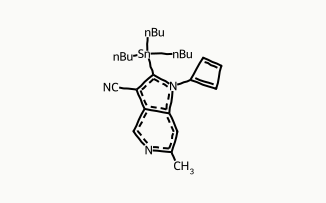 CCC[CH2][Sn]([CH2]CCC)([CH2]CCC)[c]1c(C#N)c2cnc(C)cc2n1C1=CC=C1